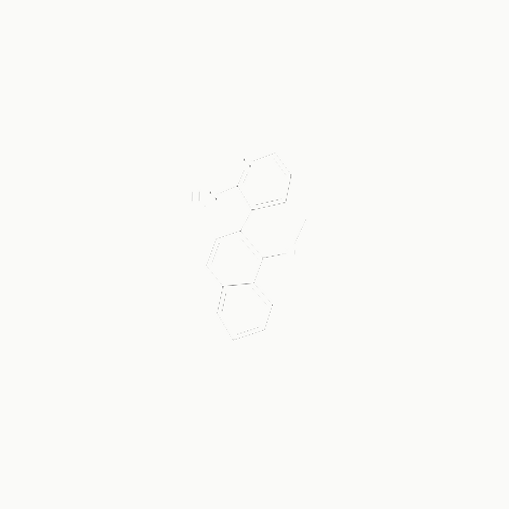 COc1c(-c2cccnc2N)ccc2ccccc12